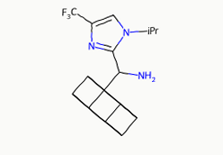 CC(C)n1cc(C(F)(F)F)nc1C(N)C12C3C4C5C3C1C5C42